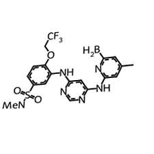 Bc1cc(C)cc(Nc2cc(Nc3cc(S(=O)(=O)NC)ccc3OCC(F)(F)F)ncn2)n1